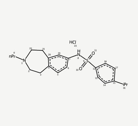 CCCN1CCc2ccc(NS(=O)(=O)c3ccc(C(C)C)cc3)cc2CC1.Cl